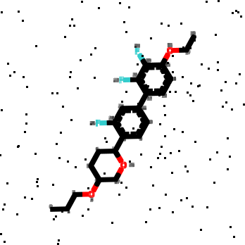 CCCOC1CCC(c2ccc(-c3ccc(OCC)c(F)c3F)cc2F)OC1